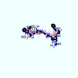 N=C(N)NCCC[C@H](NC(=O)[C@@H]1CCCN1C(=O)[C@H](N)Cc1ccccc1)C(=O)N1CCC[C@H]1C(=O)NCC(=O)NCC(=O)NCC(=O)N[C@@H](CC(=O)O)C(=O)NCC(=O)N[C@@H](CC(=O)O)C(=O)N[C@@H](Cc1ccccc1)C(=O)N[C@H]([C]=O)CCC(=O)O